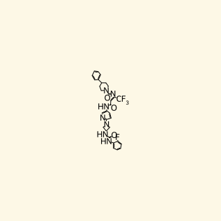 O=C(Nc1ccccc1F)NC1CN(c2ccc(NC(=O)c3oc(N4CCC(c5ccccc5)CC4)nc3C(F)(F)F)cn2)C1